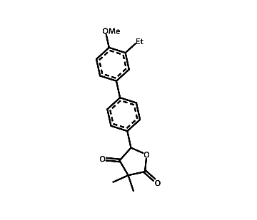 CCc1cc(-c2ccc(C3OC(=O)C(C)(C)C3=O)cc2)ccc1OC